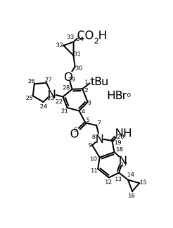 Br.CC(C)(C)c1cc(C(=O)CN2Cc3ccc(C4CC4)nc3C2=N)cc(N2CCCC2)c1OCC1CC1C(=O)O